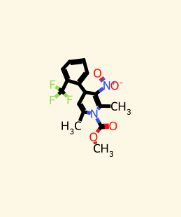 COC(=O)N1C(C)=CC(c2ccccc2C(F)(F)F)C([N+](=O)[O-])=C1C